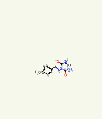 CCN(CC)C(=O)N(/N=C/c1ccc(C(F)(F)F)cc1)C(N)=O